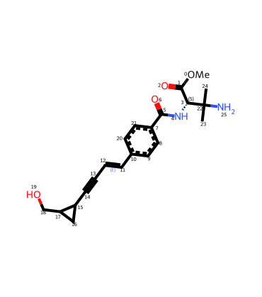 COC(=O)[C@@H](NC(=O)c1ccc(/C=C/C#CC2CC2CO)cc1)C(C)(C)N